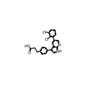 O=C(O)CCc1ccc(-c2c[nH]c3ncc(-c4cccc(Cl)c4Cl)cc23)cc1